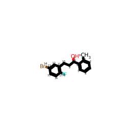 Cc1ccccc1C(O)CCc1cc(Br)ccc1F